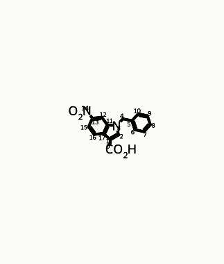 O=C(O)c1cn(Cc2ccccc2)c2cc([N+](=O)[O-])ccc12